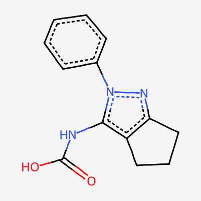 O=C(O)Nc1c2c(nn1-c1ccccc1)CCC2